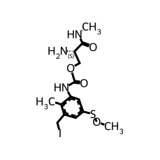 CNC(=O)[C@@H](N)COC(=O)Nc1cc(SOC)cc(CI)c1C